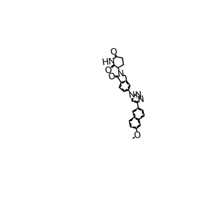 COc1ccc2cc(-c3cn(-c4ccc5c(c4)CN(C4CCC(=O)NC4=O)C5=O)nn3)ccc2c1